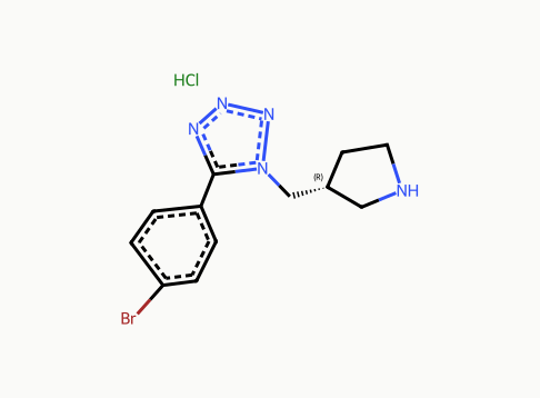 Brc1ccc(-c2nnnn2C[C@@H]2CCNC2)cc1.Cl